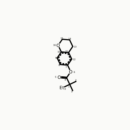 CCC(C)(C)C(=O)Oc1ccc2c(c1)CCCO2